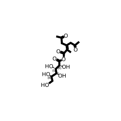 CC(=O)CC(CC(C)=O)=C(C)C(=O)OC(=O)[C@H](O)[C@@H](O)[C@H](O)[C@H](O)CO